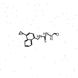 O=CNNC(=S)NCc1ccc(C2CC2)c2ccccc12